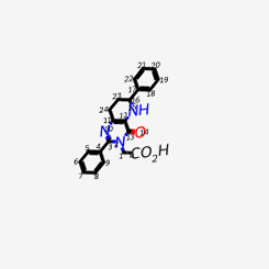 O=C(O)Cn1c(-c2ccccc2)nc2c(c1=O)NC(c1ccccc1)CC2